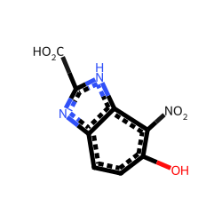 O=C(O)c1nc2ccc(O)c([N+](=O)[O-])c2[nH]1